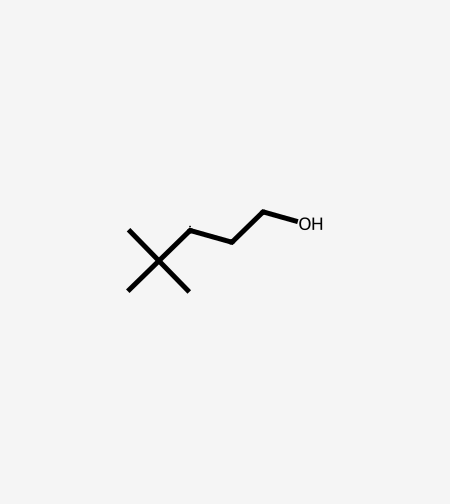 CC(C)(C)[CH]CCO